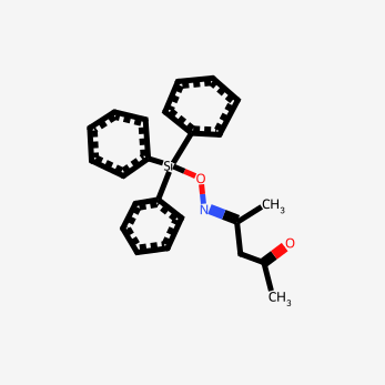 CC(=O)C/C(C)=N/O[Si](c1ccccc1)(c1ccccc1)c1ccccc1